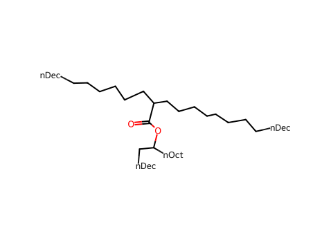 CCCCCCCCCCCCCCCCCCC(CCCCCCCCCCCCCCCC)C(=O)OC(CCCCCCCC)CCCCCCCCCCC